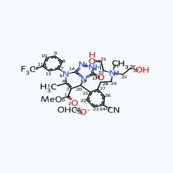 COC(=O)C1=C(C)N(c2cccc(C(F)(F)F)c2)c2n[nH]c(=O)n2C1c1ccc(C#N)cc1CC[N+](C)(CCO)CCO.O=C[O-]